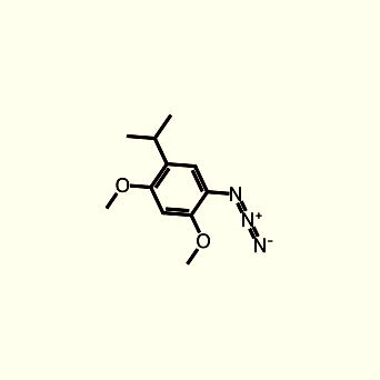 COc1cc(OC)c(C(C)C)cc1N=[N+]=[N-]